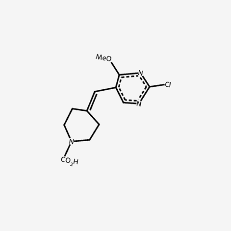 COc1nc(Cl)ncc1C=C1CCN(C(=O)O)CC1